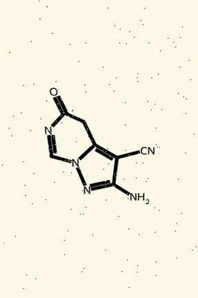 N#Cc1c(N)nn2c1CC(=O)N=C2